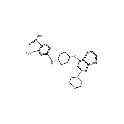 CNC(=O)c1cnc(N[C@H]2CC[C@@H](Oc3cc(N4CCOCC4)cc4nccnc34)CC2)nc1C